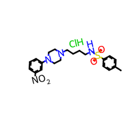 Cc1ccc(S(=O)(=O)NCCCCN2CCN(c3cccc([N+](=O)[O-])c3)CC2)cc1.Cl